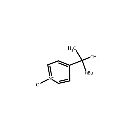 C[CH]CCC(C)(C)c1cc[n+]([O-])cc1